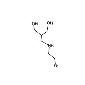 [O]CCNCC(CO)CO